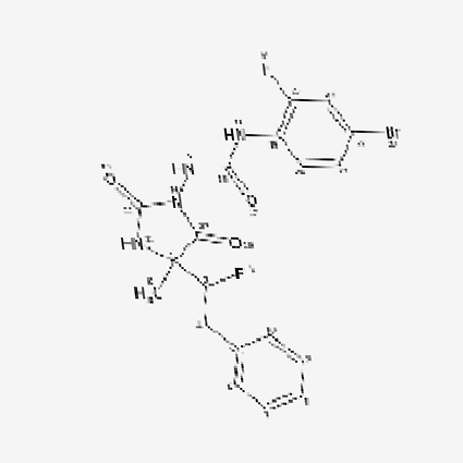 CC1(C(F)Cc2ccccc2)NC(=O)N(NC(=O)Nc2ccc(Br)cc2F)C1=O